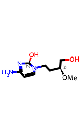 CO[C@H](CO)CCN1C=CC(N)=N[C@H]1O